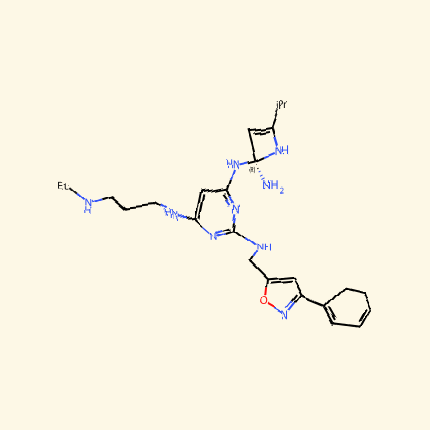 CCNCCCNc1cc(N[C@@]2(N)C=C(C(C)C)N2)nc(NCc2cc(C3=CC=CCC3)no2)n1